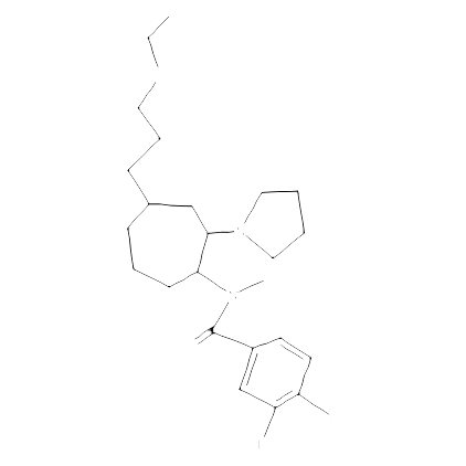 CCOCCCC1CCCC(N(C)C(=O)c2ccc(F)c(F)c2)C(N2CCCC2)C1